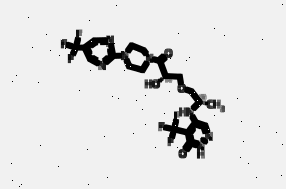 C[C@@H](COC[C@H](O)C(=O)N1CCN(c2ncc(C(F)(F)F)cn2)CC1)Nc1cn[nH]c(=O)c1C(F)(F)F